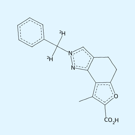 [2H]C([2H])(c1ccccc1)n1cc2c(n1)-c1c(oc(C(=O)O)c1C)CC2